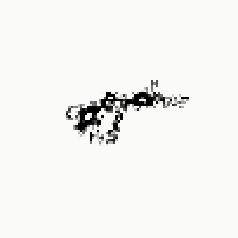 C[Si](C)(C)CCOCn1cc(-c2ccc(NC(=O)O)cc2)nc1C1CCc2cc(-c3cc(Cl)ccc3N)cnc21